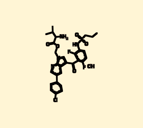 CCCS(=O)(=O)Nc1ccc(F)c(C(=O)c2cn(COC(=O)C(N)C(C)C)c3ncc(-c4ccc(Cl)cc4)cc23)c1F.Cl